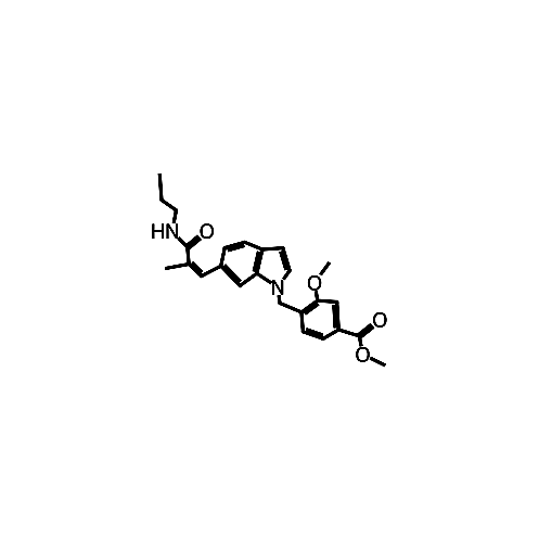 CCCNC(=O)C(C)=Cc1ccc2ccn(Cc3ccc(C(=O)OC)cc3OC)c2c1